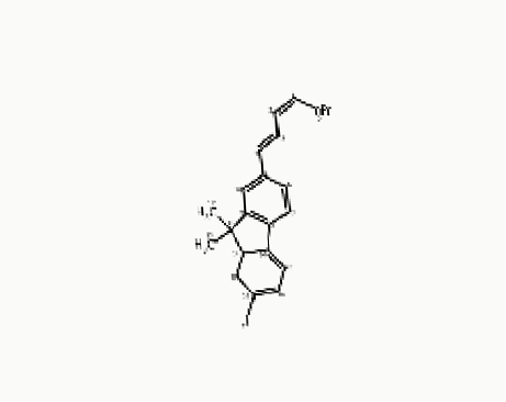 CCC/C=C\C=C\c1ccc2c(c1)C(C)(C)C1CC(I)=CC=C21